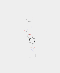 CC1CC(C)CN(S(=O)(=O)c2ccc3oc(C(=O)NCC4CCOCC4)cc3c2)C1